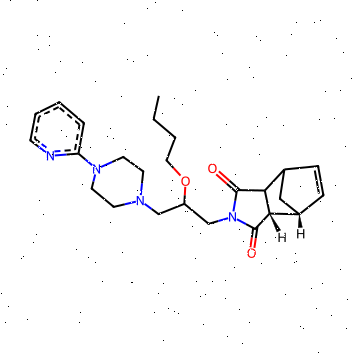 CCCCOC(CN1CCN(c2ccccn2)CC1)CN1C(=O)C2C3C=C[C@@H](C3)[C@@H]2C1=O